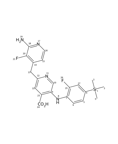 C[Si](C)(C)c1ccc(Nc2cnc(Cc3ccnc(N)c3F)cc2C(=O)O)c(F)c1